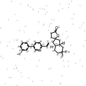 O=C1CCC2(C[C@@H]3CC(F)(F)CC[C@H]3[C@@H]2/C=C/c2ccc(-c3cccc(F)c3)cn2)O1